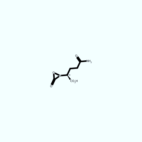 NC(=O)CC[C@@H](C(=O)O)N1OC1=O